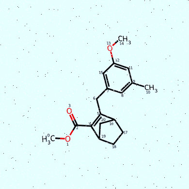 COC(=O)C1=C(Cc2cc(C)cc(OC)c2)C2CCC1C2